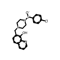 [O-][S+](c1ccc(Cl)cc1)N1CCN(Cc2ccc3cccnc3c2O)CC1